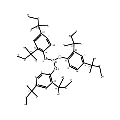 CCC(C)(C)c1ccc(OP(Oc2ccc(C(C)(C)CC)cc2C(C)(C)CC)Oc2ccc(C(C)(C)CC)cc2C(C)(C)CC)c(C(C)(C)CC)c1